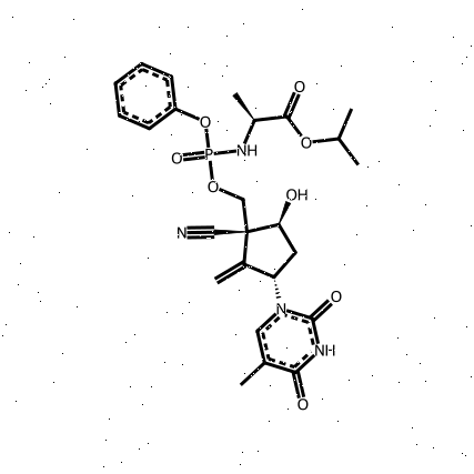 C=C1[C@@H](n2cc(C)c(=O)[nH]c2=O)C[C@H](O)[C@@]1(C#N)COP(=O)(N[C@@H](C)C(=O)OC(C)C)Oc1ccccc1